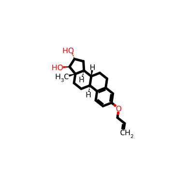 C=CCOc1ccc2c(c1)CC[C@@H]1[C@@H]2CC[C@]2(C)[C@@H](O)[C@H](O)C[C@@H]12